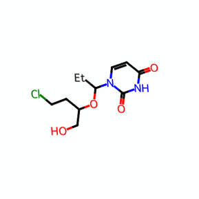 CCC(OC(CO)CCCl)n1ccc(=O)[nH]c1=O